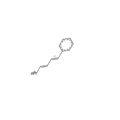 [CH2]CCC=C/C=C/c1ccccc1